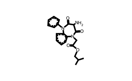 CC(C)COC(=O)CN1C(=O)C(N)C(=O)N(c2ccccc2)c2ccccc21